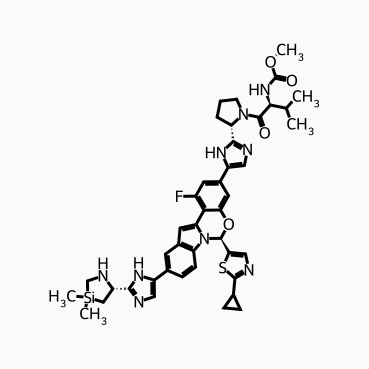 COC(=O)N[C@H](C(=O)N1CCC[C@H]1c1ncc(-c2cc(F)c3c(c2)O[C@@H](c2cnc(C4CC4)s2)n2c-3cc3cc(-c4cnc([C@@H]5C[Si](C)(C)CN5)[nH]4)ccc32)[nH]1)C(C)C